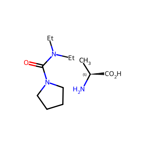 CCN(CC)C(=O)N1CCCC1.C[C@H](N)C(=O)O